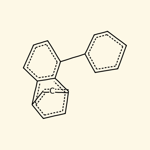 c1ccc(-c2cccc3c4ccc(cc4)c23)cc1